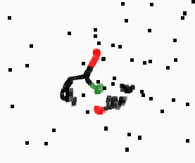 C=CC(=O)Cl.O=C([O-])O.[Na+]